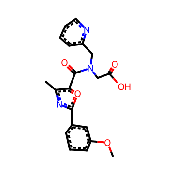 COc1cccc(-c2nc(C)c(C(=O)N(CC(=O)O)Cc3ccccn3)o2)c1